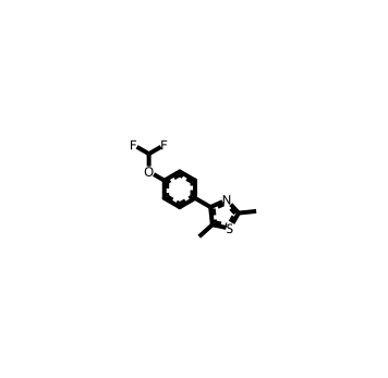 Cc1nc(-c2ccc(OC(F)F)cc2)c(C)s1